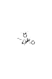 CCCC[C@H](NC(=O)[C@H](Cc1ccccc1)N(C)S(=O)(=O)c1ccc(OC)c(OC)c1)C(=O)O